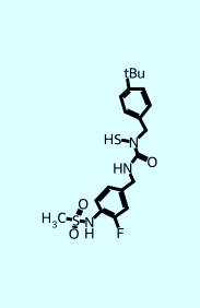 CC(C)(C)c1ccc(CN(S)C(=O)NCc2ccc(NS(C)(=O)=O)c(F)c2)cc1